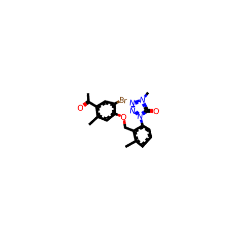 CC(=O)c1cc(Br)c(OCc2c(C)cccc2-n2nnn(C)c2=O)cc1C